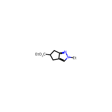 CCOC(=O)C1Cc2cn(CC)nc2C1